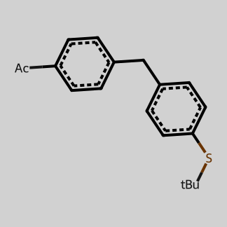 CC(=O)c1ccc(Cc2ccc(SC(C)(C)C)cc2)cc1